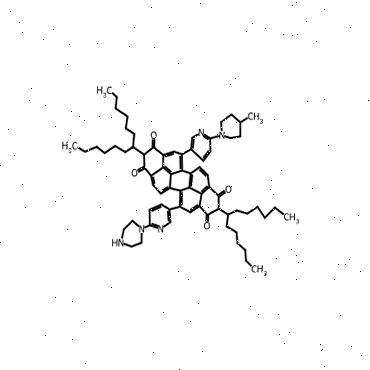 CCCCCCC(CCCCCC)C1C(=O)c2ccc3c4c(-c5ccc(N6CCC(C)CC6)nc5)cc5c6c(ccc(c7c(-c8ccc(N9CCNCC9)nc8)cc(c2c37)C1=O)c64)C(=O)C(C(CCCCCC)CCCCCC)C5=O